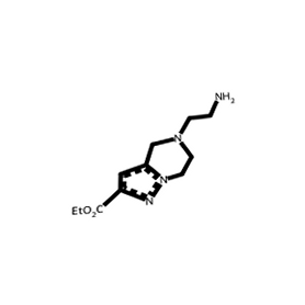 CCOC(=O)c1cc2n(n1)CCN(CCN)C2